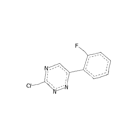 Fc1ccccc1-c1cnc(Cl)nn1